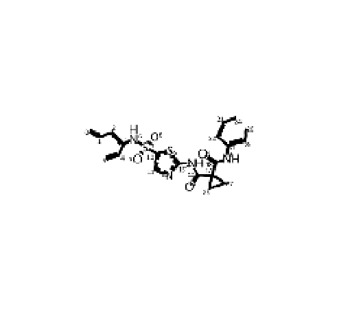 C=C/C=C(\C=C)NS(=O)(=O)c1cnc(NC(=O)C2(C(=O)NC(/C=C\C)=C/C)CC2)s1